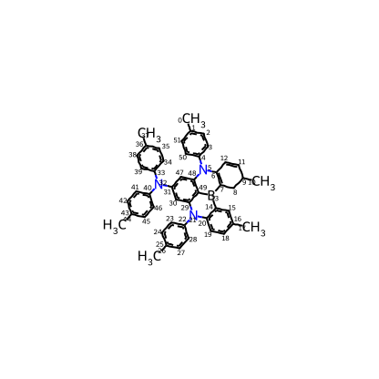 Cc1ccc(N2C3=C(CC(C)C=C3)B3c4cc(C)ccc4N(c4ccc(C)cc4)c4cc(N(c5ccc(C)cc5)c5ccc(C)cc5)cc2c43)cc1